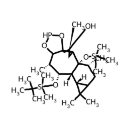 C[C@@H]1C2OPO[C@]23C[C@](C)(O)C=C3[C@]2(O[Si](C)(C)C)[C@@H]([C@@H]1O[Si](C)(C)C(C)(C)C)[C@@H]1C(C[C@H]2C)C1(C)C